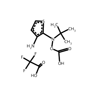 CC(C)(C)N(OC(=O)O)c1sccc1N.O=C(O)C(F)(F)F